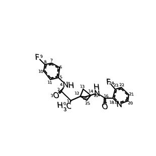 CC(C(=O)Nc1ccc(F)cc1)C12CC(NC(=O)c3ncccc3F)(C1)C2